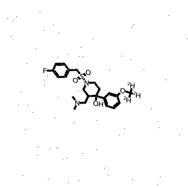 [2H]C([2H])([2H])Oc1cccc(C2(O)CCN(S(=O)(=O)Cc3ccc(F)cc3)CC2CN(C)C)c1